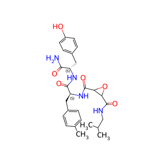 Cc1ccc(C[C@H](NC(=O)C2OC2C(=O)NCC(C)C)C(=O)N[C@@H](Cc2ccc(O)cc2)C(N)=O)cc1